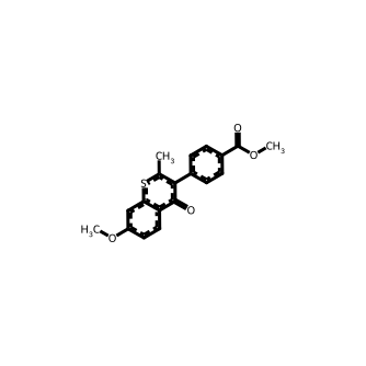 COC(=O)c1ccc(-c2c(C)sc3cc(OC)ccc3c2=O)cc1